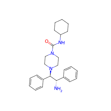 N[C@@H](c1ccccc1)[C@@H](c1ccccc1)N1CCN(C(=O)NC2CCCCC2)CC1